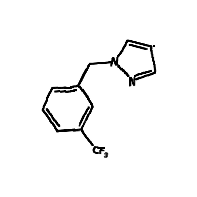 FC(F)(F)c1cccc(Cn2c[c]cn2)c1